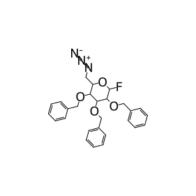 [N-]=[N+]=NCC1OC(F)C(OCc2ccccc2)C(OCc2ccccc2)C1OCc1ccccc1